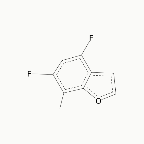 Cc1c(F)cc(F)c2ccoc12